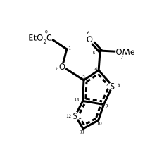 CCOC(=O)COc1c(C(=O)OC)sc2ccsc12